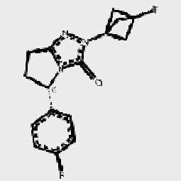 O=c1n(C23CC(F)(C2)C3)nc2n1[C@H](c1ccc(F)cc1)CC2